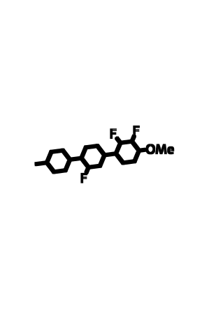 COC1CCC(C2CCC(C3CCC(C)CC3)C(F)C2)C(F)C1F